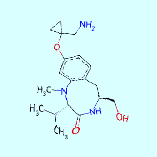 CC(C)[C@H]1C(=O)N[C@H](CO)Cc2ccc(OC3(CN)CC3)cc2N1C